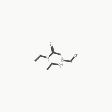 CCO.CCOC(C)=O.ClCCl